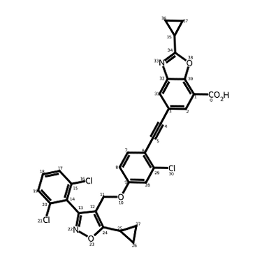 O=C(O)c1cc(C#Cc2ccc(OCc3c(-c4c(Cl)cccc4Cl)noc3C3CC3)cc2Cl)cc2nc(C3CC3)oc12